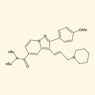 CCCCN(CCCC)C(=O)c1ccn2nc(-c3ccc(OC)cc3)c(/C=C/CN3CCCCC3)c2c1